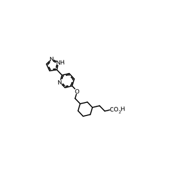 O=C(O)CCC1CCCC(COc2ccc(-c3ccn[nH]3)nc2)C1